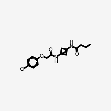 CCCC(=O)NC12CC(NC(=O)COc3ccc(Cl)cc3)(C1)C2